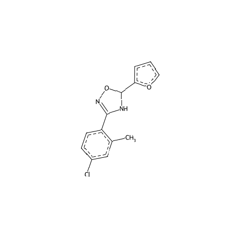 Cc1cc(Cl)ccc1C1=NOC(c2ccco2)N1